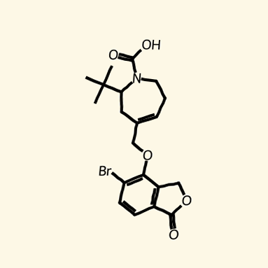 CC(C)(C)C1CC(COc2c(Br)ccc3c2COC3=O)=CCCN1C(=O)O